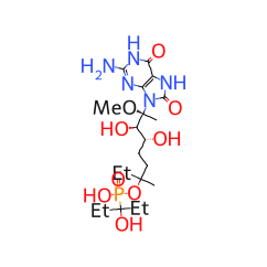 CCC(C)(CC[C@@H](O)[C@@H](O)[C@](C)(OC)n1c(=O)[nH]c2c(=O)[nH]c(N)nc21)OP(=O)(O)C(O)(CC)CC